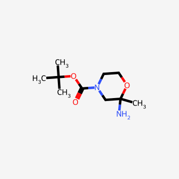 CC(C)(C)OC(=O)N1CCOC(C)(N)C1